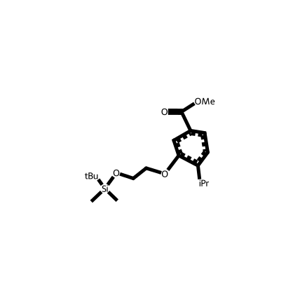 COC(=O)c1ccc(C(C)C)c(OCCO[Si](C)(C)C(C)(C)C)c1